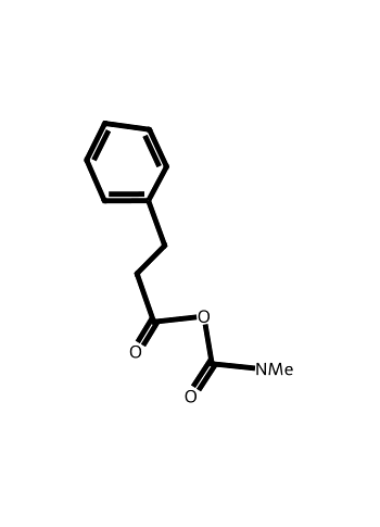 CNC(=O)OC(=O)CCc1ccccc1